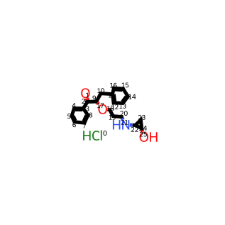 Cl.O=C(c1ccccc1)C(Cc1ccccc1)OCCCNC1CC1O